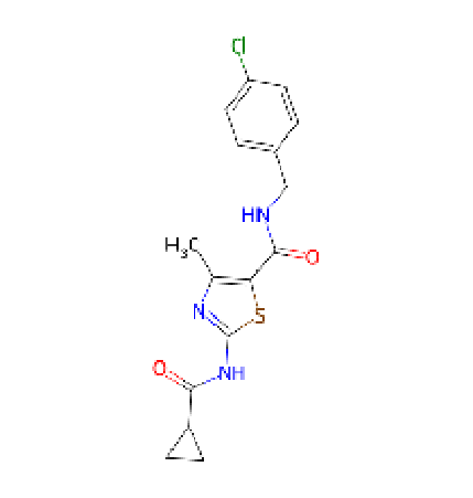 Cc1nc(NC(=O)C2CC2)sc1C(=O)NCc1ccc(Cl)cc1